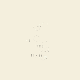 Cn1cnc(-c2cc(Cl)c(F)c(C(=O)NNS(=O)(=O)c3nccn3C)c2)c1